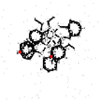 CCO[PH](OCC)(OCC)[Ni]([PH](OCC)(OCC)OCC)([PH](Oc1ccccc1)(Oc1ccccc1)Oc1ccccc1)[PH](Oc1ccccc1)(Oc1ccccc1)Oc1ccccc1